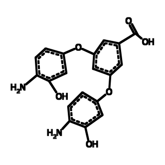 Nc1ccc(Oc2cc(Oc3ccc(N)c(O)c3)cc(C(=O)O)c2)cc1O